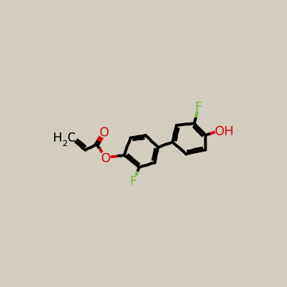 C=CC(=O)Oc1ccc(-c2ccc(O)c(F)c2)cc1F